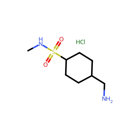 CNS(=O)(=O)C1CCC(CN)CC1.Cl